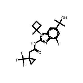 CC(C)(O)c1cc(F)c2nc(NC(=O)CC3(C(F)(F)F)CC3)n(C3(C)CCC3)c2c1